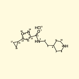 Cl.O=C(NCCC1CCNCC1)c1cc(C2CC2)on1